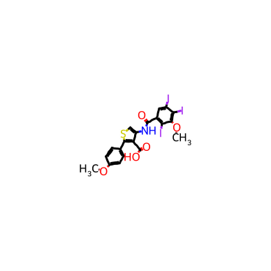 COc1ccc(-c2scc(NC(=O)c3cc(I)c(I)c(OC)c3I)c2C(=O)O)cc1